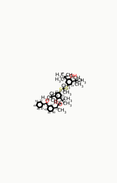 CC(C(=O)Oc1c(C(C)(C)C)cc(SC(C)(C)Sc2cc(C(C)(C)C)c(O)c(C(C)(C)C)c2)cc1C(C)(C)C)c1cccc(C(=O)c2ccccc2)c1